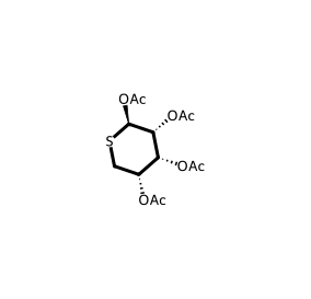 CC(=O)O[C@@H]1[C@H](OC(C)=O)[C@H](OC(C)=O)CS[C@H]1OC(C)=O